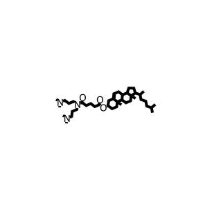 CC(C)CCCC(C)C1CCC2C3CC=C4CC(OC(=O)CCCC(=O)N(CCCN(C)C)CCCN(C)C)CCC4(C)C3CCC12C